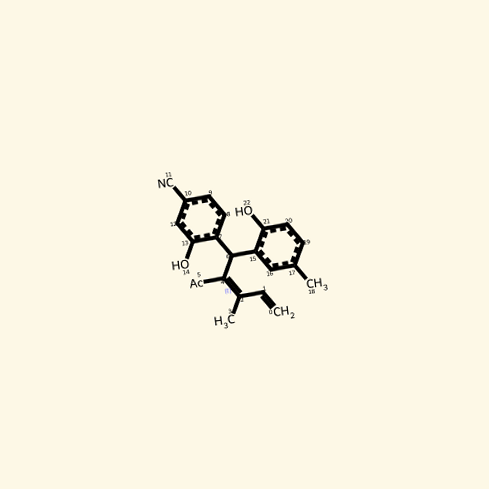 C=C/C(C)=C(/C(C)=O)C(c1ccc(C#N)cc1O)c1cc(C)ccc1O